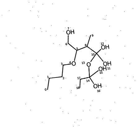 CCCCOC(CO)C(C)C(O)(O)OC(O)(O)CC